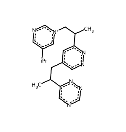 CC(C)c1cnc[n+](CC(C)c2cc(CC(C)c3cncnn3)cnn2)c1